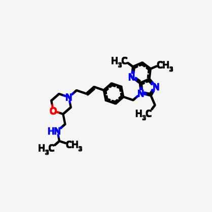 CCc1nc2c(C)cc(C)nc2n1Cc1ccc(/C=C/CN2CCOC(CNC(C)C)C2)cc1